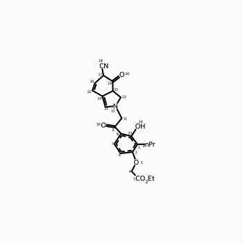 CCCc1c(OCC(=O)OCC)ccc(C(=O)CN2C=C3C=CC(C#N)C(=O)C3C2)c1O